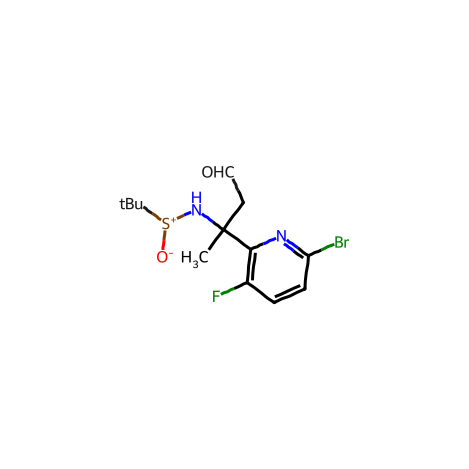 CC(CC=O)(N[S+]([O-])C(C)(C)C)c1nc(Br)ccc1F